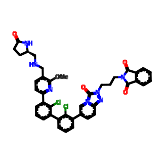 COc1nc(-c2cccc(-c3cccc(-c4ccc5nn(CCCN6C(=O)c7ccccc7C6=O)c(=O)n5c4)c3Cl)c2Cl)ccc1CNC[C@H]1CCC(=O)N1